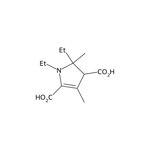 CCN1C(C(=O)O)=C(C)C(C(=O)O)C1(C)CC